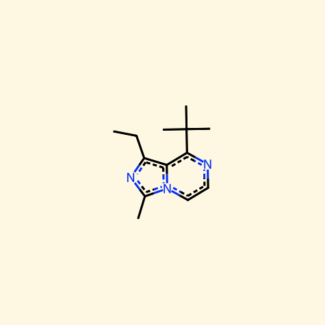 CCc1nc(C)n2ccnc(C(C)(C)C)c12